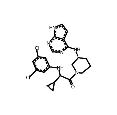 O=C(C(Nc1cc(Cl)cc(Cl)c1)C1CC1)N1CCC[C@H](Nc2ncnc3[nH]ccc23)C1